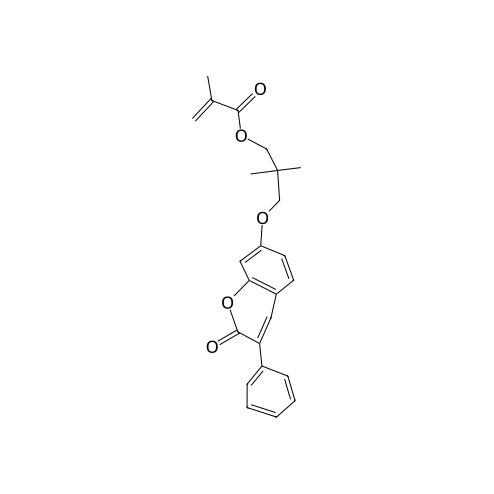 C=C(C)C(=O)OCC(C)(C)COc1ccc2cc(-c3ccccc3)c(=O)oc2c1